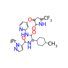 CC1CCC([C@H](NC(=O)c2ccnn2C(C)C)C(=O)Nc2cc(O[C@H]3C[C@@H](C(F)(F)F)NC3=O)ccn2)CC1